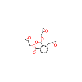 O=C(OCC1CO1)c1cccc(CC2CO2)c1C(=O)OCC1CO1